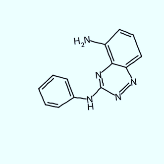 Nc1cccc2nnc(Nc3ccccc3)nc12